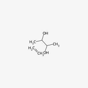 C=C.CC(O)C(C)O